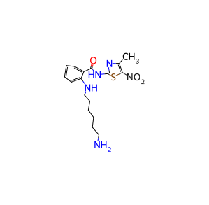 Cc1nc(NC(=O)c2ccccc2NCCCCCCN)sc1[N+](=O)[O-]